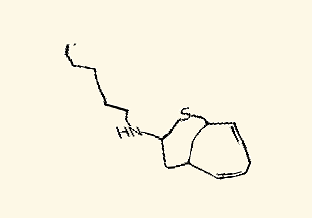 [CH2]CCCCNC1CC2C=CC=CC2S1